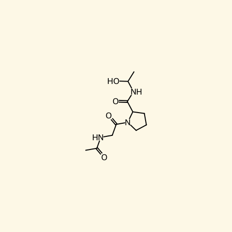 CC(=O)NCC(=O)N1CCCC1C(=O)NC(C)O